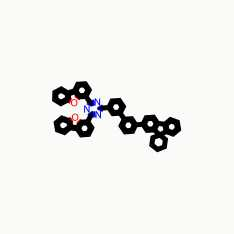 c1cc(-c2cccc(-c3nc(-c4cccc5c4oc4ccccc45)nc(-c4cccc5c4oc4ccccc45)n3)c2)cc(-c2ccc3c(c2)C2(CCCCC2)c2ccccc2-3)c1